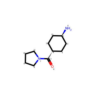 N[C@H]1CC[C@H](C(=O)N2CCCC2)CC1